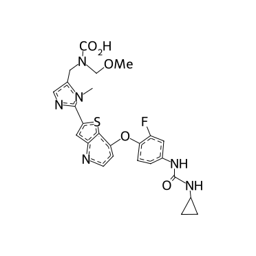 COCN(Cc1cnc(-c2cc3nccc(Oc4ccc(NC(=O)NC5CC5)cc4F)c3s2)n1C)C(=O)O